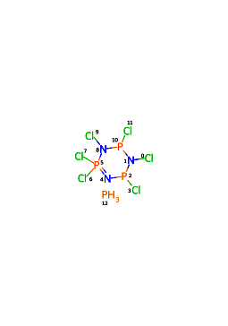 ClN1P(Cl)N=P(Cl)(Cl)N(Cl)P1Cl.P